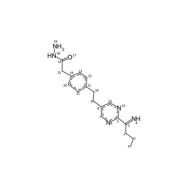 CCCC(=N)c1ncc(CCc2ccc(CC(=O)NN)cc2)cn1